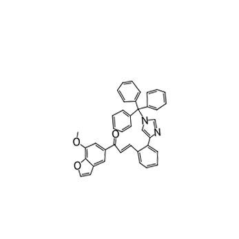 COc1cc(C(=O)C=Cc2ccccc2-c2cn(C(c3ccccc3)(c3ccccc3)c3ccccc3)cn2)cc2ccoc12